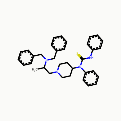 CC(CN1CCC(N(C(=S)Nc2ccccc2)c2ccccc2)CC1)N(Cc1ccccc1)Cc1ccccc1